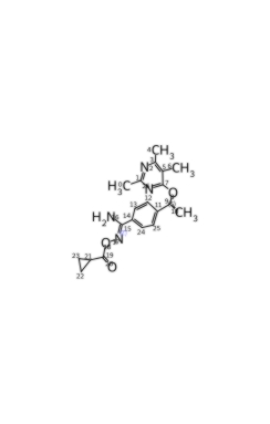 Cc1nc(C)c(C)c(O[C@@H](C)c2ccc(/C(N)=N/OC(=O)C3CC3)cc2)n1